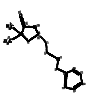 CC1(C)C[C@@H](CCOCc2ccccc2)OC1=O